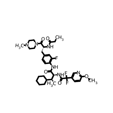 CCC(=O)N[C@H](Cc1ccc(NC(=O)[C@@H](NC(=O)C(F)(F)c2ccc(OC)nc2)[C@@H](C)C2CCCCC2)c(F)c1)C(=O)N1CCN(C)CC1